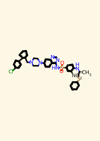 C[C@H](CSc1ccccc1)Nc1ccc(S(=O)(=O)Nc2ncnc3cc(N4CCN(Cc5ccccc5-c5ccc(Cl)cc5)CC4)ccc23)cc1[N+](=O)[O-]